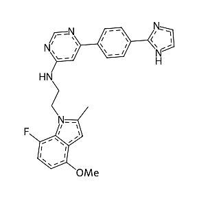 COc1ccc(F)c2c1cc(C)n2CCNc1cc(-c2ccc(-c3ncc[nH]3)cc2)ncn1